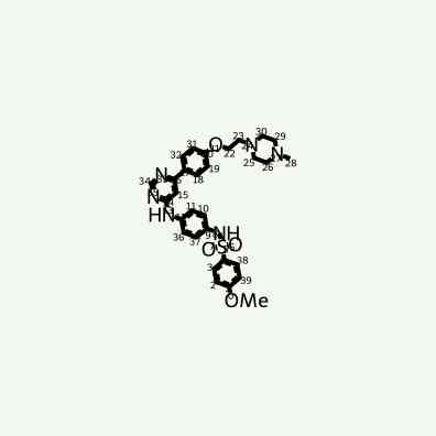 COc1ccc(S(=O)(=O)Nc2ccc(Nc3cc(-c4ccc(OCCN5CCN(C)CC5)cc4)ncn3)cc2)cc1